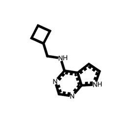 c1nc(NCC2CCC2)c2cc[nH]c2n1